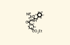 CCOC(=O)N1CCN(C(=O)[C@H](CCC#N)NC(=O)Cc2ccccc2)CC1